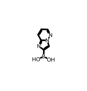 OB(O)c1cn2ncccc2n1